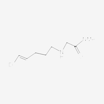 CC/C=C/CCCNCC(=O)NC